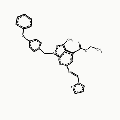 CCOC(=O)c1cc(/N=C/c2ccco2)nc2c1c(C)nn2Cc1ccc(Oc2ccccc2)cc1